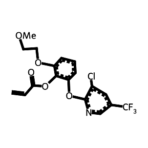 C=CC(=O)Oc1c(OCCOC)cccc1Oc1ncc(C(F)(F)F)cc1Cl